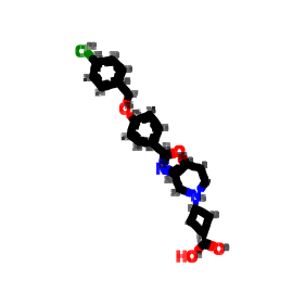 O=C(O)[C@H]1C[C@@H](N2CCc3oc(-c4ccc(OCc5ccc(Cl)cc5)cc4)nc3C2)C1